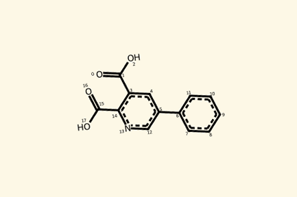 O=C(O)c1cc(-c2ccccc2)cnc1C(=O)O